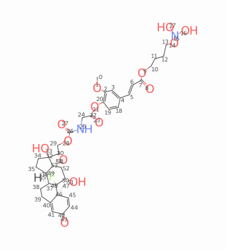 COc1cc(/C=C/C(=O)OCCCCON(O)O)ccc1OC(=O)CNC(=O)OCC(=O)C1(O)CCC2[C@@H]3CCC4=CC(=O)C=C[C@]4(C)C3(F)[C@@H](O)C[C@@]21C